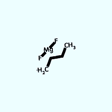 [CH2]CCC.[F][Mg][F]